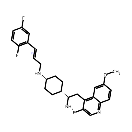 COc1ccc2ncc(F)c(CC(N)[C@H]3CC[C@@H](NC/C=C/c4cc(F)ccc4F)CC3)c2c1